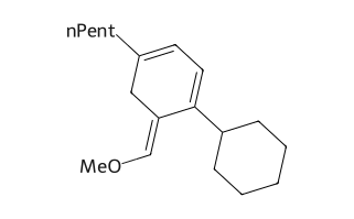 CCCCCC1=CC=C(C2CCCCC2)/C(=C/OC)C1